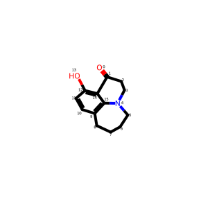 O=C1CCN2CCCCc3ccc(O)c1c32